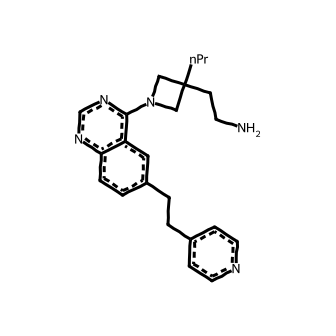 CCCC1(CCN)CN(c2ncnc3ccc(CCc4ccncc4)cc23)C1